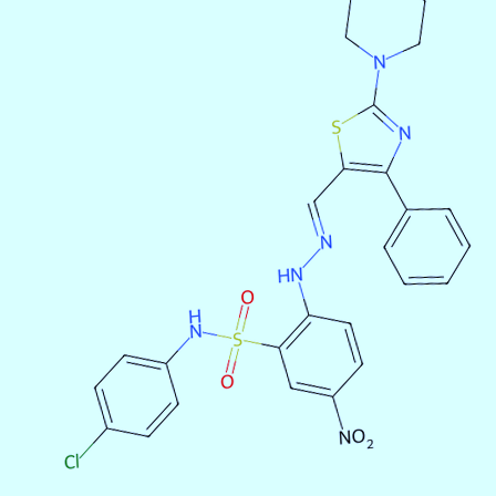 O=[N+]([O-])c1ccc(N/N=C/c2sc(N3CCOCC3)nc2-c2ccccc2)c(S(=O)(=O)Nc2ccc(Cl)cc2)c1